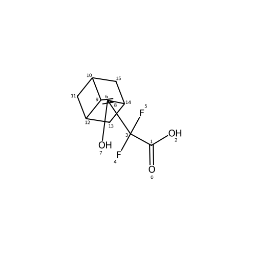 O=C(O)C(F)(F)C1(O)C=C2C3CC2CC1C3